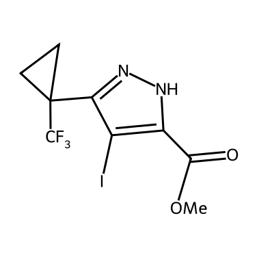 COC(=O)c1[nH]nc(C2(C(F)(F)F)CC2)c1I